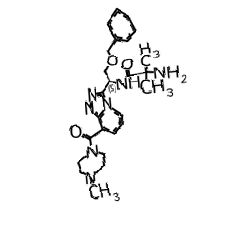 CN1CCN(C(=O)c2cccn3c([C@@H](COCc4ccccc4)NC(=O)C(C)(C)N)nnc23)CC1